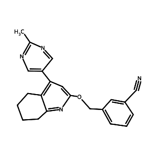 Cc1ncc(-c2cc(OCc3cccc(C#N)c3)nc3c2CCCC3)cn1